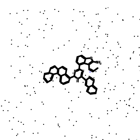 C/C=C\c1c(N)oc2cccc(C3=NC(c4cccc5c4ccc4ccc6ccccc6c45)NC(c4ccc5ccccc5c4)=N3)c12